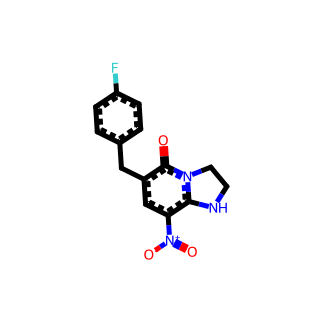 O=c1c(Cc2ccc(F)cc2)cc([N+](=O)[O-])c2n1CCN2